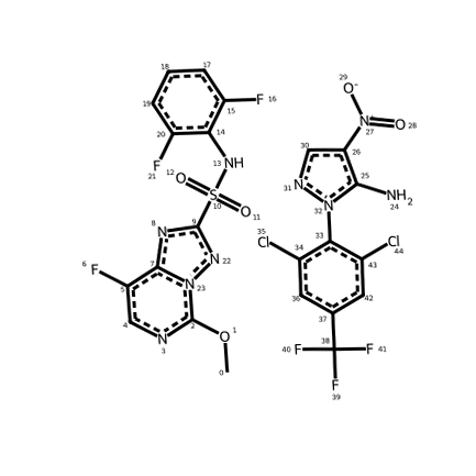 COc1ncc(F)c2nc(S(=O)(=O)Nc3c(F)cccc3F)nn12.Nc1c([N+](=O)[O-])cnn1-c1c(Cl)cc(C(F)(F)F)cc1Cl